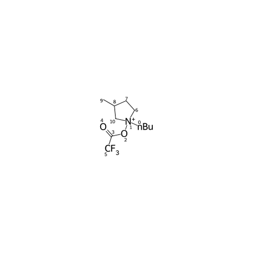 CCCC[N+]1(OC(=O)C(F)(F)F)CCC(C)C1